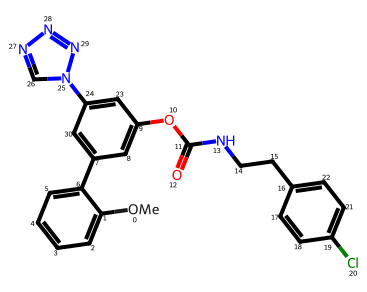 COc1ccccc1-c1cc(OC(=O)NCCc2ccc(Cl)cc2)cc(-n2cnnn2)c1